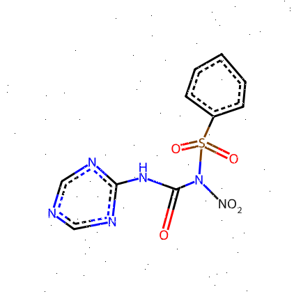 O=C(Nc1ncncn1)N([N+](=O)[O-])S(=O)(=O)c1ccccc1